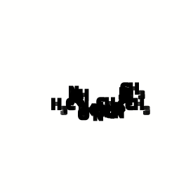 Cc1cnccc1CNC(=O)c1cnc(N2CCc3ncc(-c4cn(C)nc4C)cc3C2)c(C)c1